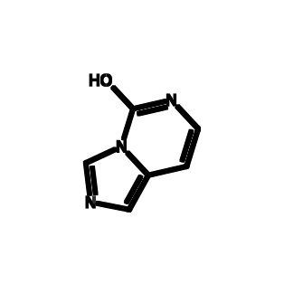 Oc1nccc2cncn12